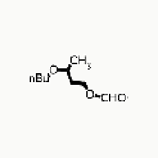 CCCCOC(C)CCO[C]=O